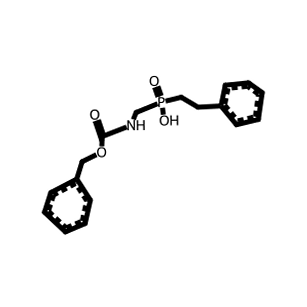 O=C(NCP(=O)(O)CCc1ccccc1)OCc1ccccc1